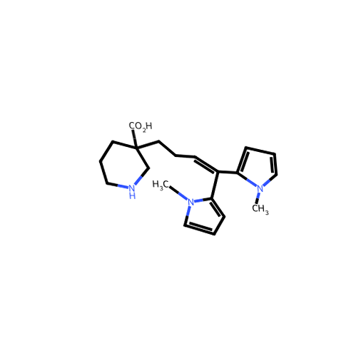 Cn1cccc1C(=CCCC1(C(=O)O)CCCNC1)c1cccn1C